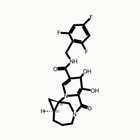 O=C(NCc1c(F)cc(F)cc1F)C1=CN2C(=C(O)C1O)C(=O)N1CCC[C@H]3C[C@@]32C1